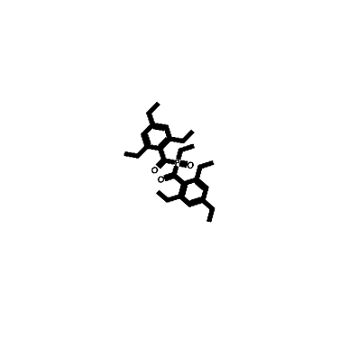 CCc1cc(CC)c(C(=O)P(=O)(CC)C(=O)c2c(CC)cc(CC)cc2CC)c(CC)c1